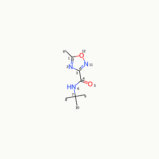 Cc1nc(C(=O)NC(C)(C)C)no1